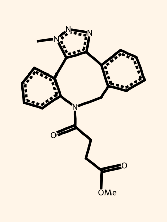 COC(=O)CCC(=O)N1Cc2ccccc2-c2nnn(C)c2-c2ccccc21